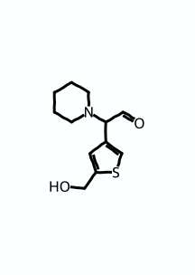 O=CC(c1csc(CO)c1)N1CCCCC1